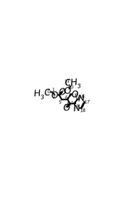 CCOC(=O)CC(C(=O)OCC)C(=O)c1cnccn1